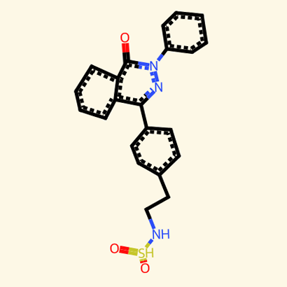 O=c1c2ccccc2c(-c2ccc(CCN[SH](=O)=O)cc2)nn1-c1ccccc1